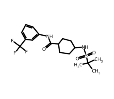 CC(C)(C)S(=O)(=O)NC1CCC(C(=O)Nc2cccc(C(F)(F)F)c2)CC1